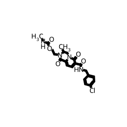 CNC(=O)OCCN1C(=O)c2ccc(C(=O)NCc3ccc(Cl)cc3)c(=O)n2CC1C